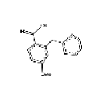 COc1ccc(C(=N)C#N)c(Cc2ccccc2)c1